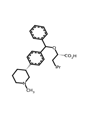 CC(C)C[C@H](OC(c1ccccc1)c1ccc([C@H]2CCCN(C)C2)cc1)C(=O)O